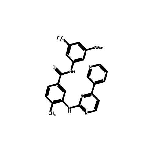 CNc1cc(NC(=O)c2ccc(C)c(Nc3nccc(-c4cccnc4)n3)c2)cc(C(F)(F)F)c1